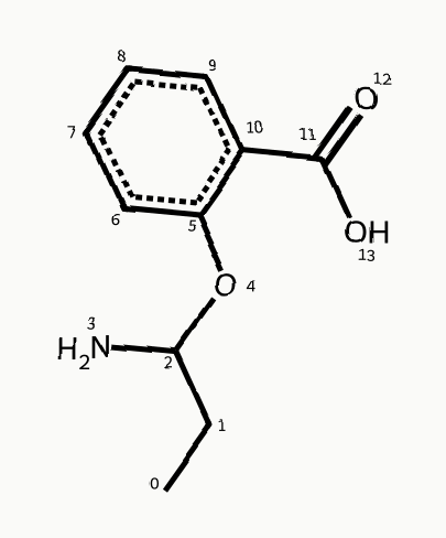 CCC(N)Oc1ccccc1C(=O)O